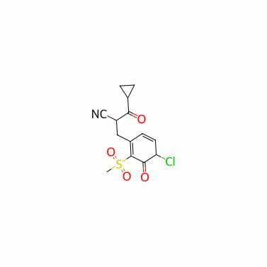 CS(=O)(=O)C1=C(CC(C#N)C(=O)C2CC2)C=CC(Cl)C1=O